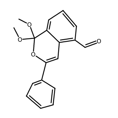 COC1(OC)OC(c2ccccc2)=Cc2c(C=O)cccc21